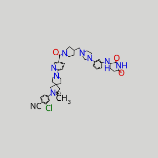 C[C@@H]1CC2(CCN(c3ccc(C(=O)N4CCC(CN5CCN(c6cccc(NC7CCC(=O)NC7=O)c6)CC5)CC4)cn3)CC2)CN1c1ccc(C#N)c(Cl)c1